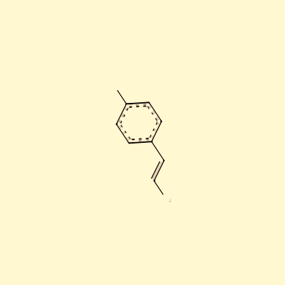 Fc1ccc(C=CBr)cc1